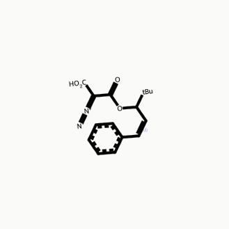 CC(C)(C)C(/C=C\c1ccccc1)OC(=O)C(=[N+]=[N-])C(=O)O